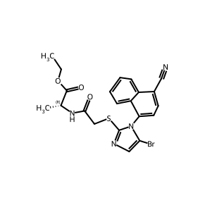 CCOC(=O)[C@@H](C)NC(=O)CSc1ncc(Br)n1-c1ccc(C#N)c2ccccc12